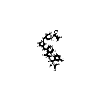 Cc1cn(-c2ccc(F)cc2C(=O)N(C)C(C)C)c2cncc(CC3CCN(CC4CCN(C(=O)C5CC5)CC4)C3)c12